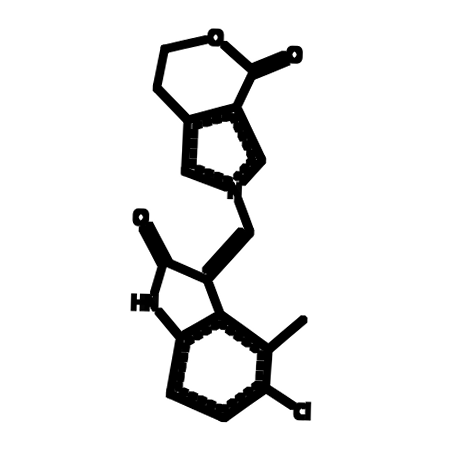 Cc1c(Cl)ccc2c1C(=Cn1cc3c(c1)C(=O)OCC3)C(=O)N2